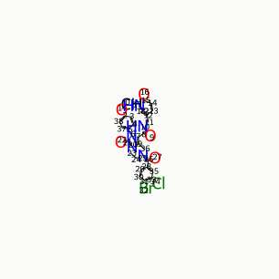 COc1ccc(-n2c(C(=O)NCc3ccc(=O)[nH]c3)c3n(c2=O)CCN(C(=O)c2ccc(Br)c(Cl)c2)C3)cc1